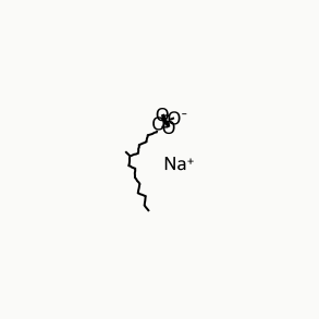 CCCCCCCCC(C)CCCCCOS(=O)(=O)[O-].[Na+]